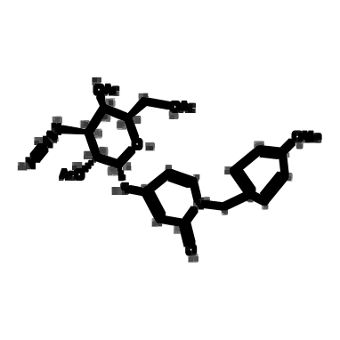 COc1ccc(Cn2ccc(S[C@H]3O[C@H](COC(C)=O)[C@H](OC(C)=O)[C@H](N=[N+]=[N-])[C@H]3OC(C)=O)cc2=O)cc1